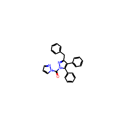 O=C(n1cccn1)n1nc(Cc2ccccc2)c(-c2ccccc2)c1-c1ccccc1